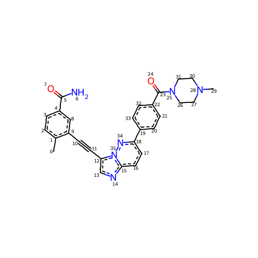 Cc1ccc(C(N)=O)cc1C#Cc1cnc2ccc(-c3ccc(C(=O)N4CCN(C)CC4)cc3)nn12